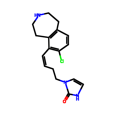 O=c1[nH]ccn1CC/C=C\c1c(Cl)ccc2c1CCNCC2